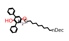 CCCCCCCCCCCCCCCCCC[SiH2]Oc1cc(-c2ccccc2)c(O)c(-c2ccccc2)c1